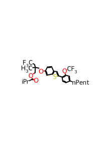 CCCCCc1ccc(-c2cc3ccc(OCC(C)(COC(=O)C(C)C)CC(F)(F)F)cc3s2)c(OC(F)(F)F)c1